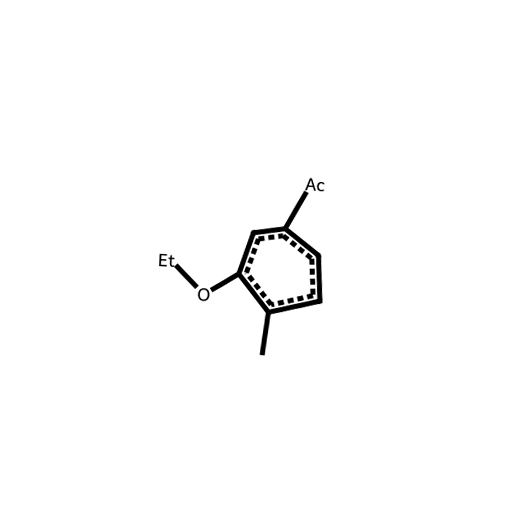 CCOc1cc(C(C)=O)ccc1C